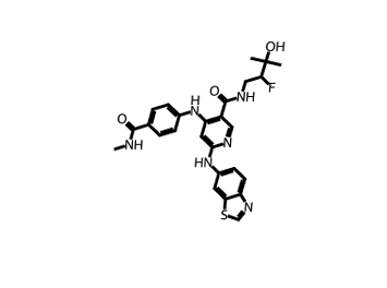 CNC(=O)c1ccc(Nc2cc(Nc3ccc4ncsc4c3)ncc2C(=O)NCC(F)C(C)(C)O)cc1